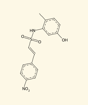 Cc1ccc(O)cc1NS(=O)(=O)C=Cc1ccc([N+](=O)[O-])cc1